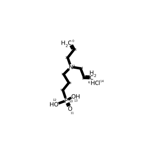 C=CCN(CC=C)CCCP(=O)(O)O.Cl